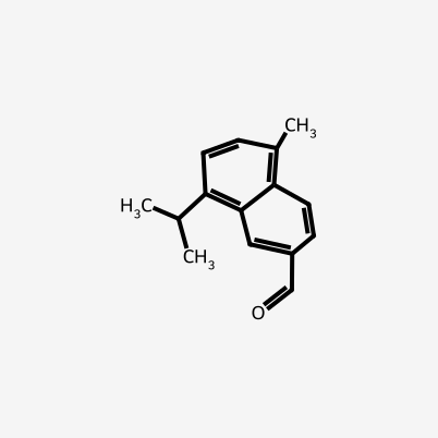 Cc1ccc(C(C)C)c2cc(C=O)ccc12